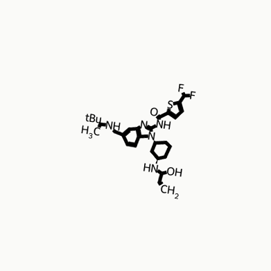 C=CC(O)N[C@H]1CCC[C@@H](n2c(NC(=O)c3ccc(C(F)F)s3)nc3cc(CN[C@@H](C)C(C)(C)C)ccc32)C1